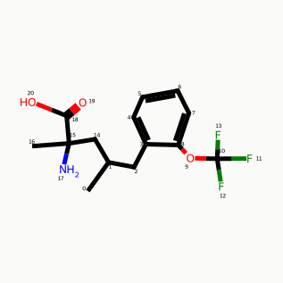 CC(Cc1ccccc1OC(F)(F)F)CC(C)(N)C(=O)O